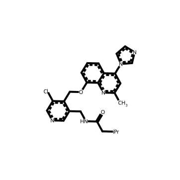 Cc1cc(-n2ccnc2)c2cccc(OCc3c(Cl)cncc3CNC(=O)CC(C)C)c2n1